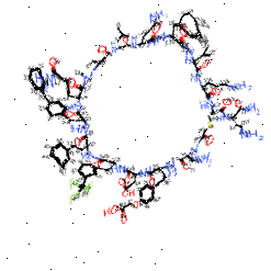 CC(C)C[C@H]1NC(=O)[C@H](C)N(C)C(=O)[C@H](CCC(N)=O)NC(=O)[C@H](Cc2ccc(-c3ccccc3)cc2)NC(=O)[C@H](CCc2ccccc2)NC(=O)[C@H](Cc2cccc(C(F)(F)F)c2)NC(=O)[C@H](CC(=O)O)NC(=O)[C@H](Cc2ccc(OCC(=O)O)cc2)NC(=O)[C@H]([C@@H](C)N)NC(=O)CSC[C@@H](C(=O)N[C@@H](CCN)C(N)=O)NC(=O)[C@H](CCCN)NC(=O)[C@H](C(C)C)NC(=O)[C@H](CC2CCCCC2)NC(=O)[C@H](CCN)NC1=O